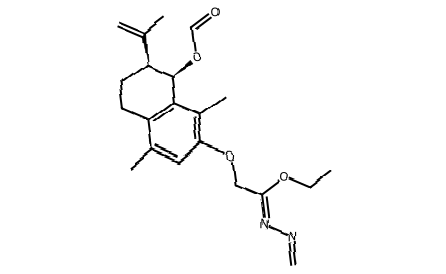 C=N/N=C(/COc1cc(C)c2c(c1C)[C@H](OC=O)[C@H](C(=C)C)CC2)OCC